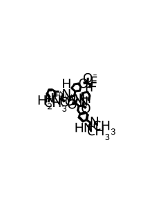 CN=C(NC)c1ccc(CC(C(=O)N[C@H](C(=O)N[C@@H](Cc2ccc[n+](C)c2)C(N)=O)C2CCCCC2)C(=O)N2CCCCC2)cc1.O=C([O-])C(F)(F)F